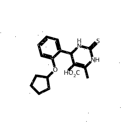 CC1=C(C(=O)O)C(c2ccccc2OC2CCCC2)NC(=S)N1